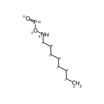 CCCCCCCCNOP=O